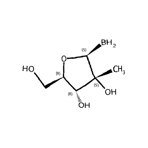 B[C@@H]1O[C@H](CO)[C@@H](O)[C@@]1(C)O